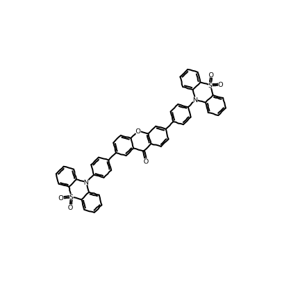 O=c1c2ccc(-c3ccc(N4c5ccccc5S(=O)(=O)c5ccccc54)cc3)cc2oc2ccc(-c3ccc(N4c5ccccc5S(=O)(=O)c5ccccc54)cc3)cc12